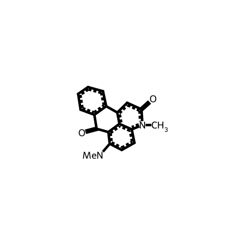 CNc1ccc2c3c(cc(=O)n2C)-c2ccccc2C(=O)c13